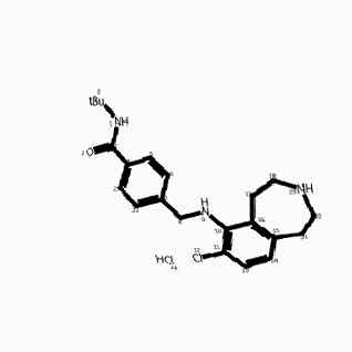 CC(C)(C)NC(=O)c1ccc(CNc2c(Cl)ccc3c2CCNCC3)cc1.Cl